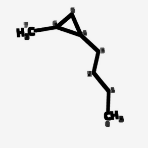 CCCCC1CC1C